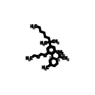 C=C(C)[C@@H]1CCC(C)=C[C@H]1c1c(O)cc(C(C)(C)CCCCCC)cc1OCOCC